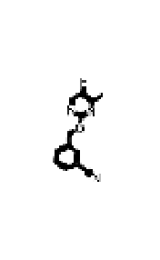 Cc1nc(OCc2cccc(C#N)c2)ncc1F